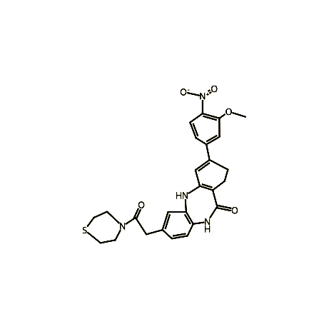 COc1cc(C2=CC3=C(CC2)C(=O)Nc2ccc(CC(=O)N4CCSCC4)cc2N3)ccc1[N+](=O)[O-]